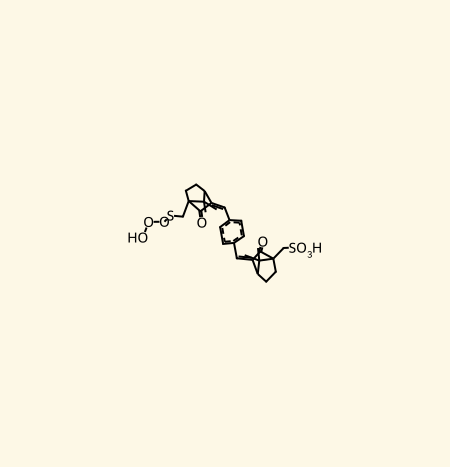 CC1(C)C2CCC1(CSOOO)C(=O)/C2=C\c1ccc(/C=C2\C(=O)C3(CS(=O)(=O)O)CCC2C3(C)C)cc1